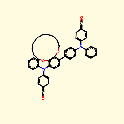 O=C=C1C=CC(N(c2ccccc2)c2ccc(-c3ccc(N(C4=CCC(=C=O)C=C4)c4ccccc4)c4c3OCCCCCCCCCCO4)cc2)=CC1